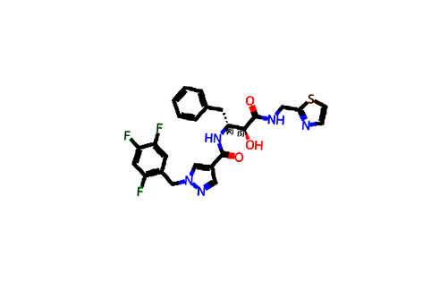 O=C(N[C@H](Cc1ccccc1)[C@H](O)C(=O)NCc1nccs1)c1cnn(Cc2cc(F)c(F)cc2F)c1